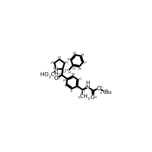 C[C@H](NC(=O)OC(C)(C)C)c1ccc(C(O)[C@]2(Cc3ccccc3)CCCN2C(=O)O)cc1